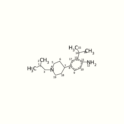 C[C](C)CN1CCC(c2ccc(N)c(C(C)C)c2)CC1